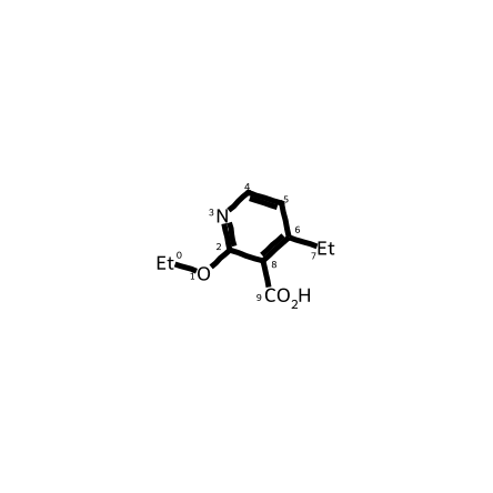 CCOc1nccc(CC)c1C(=O)O